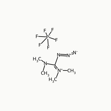 CN(C)C(N=[N+]=[N-])=[N+](C)C.F[P-](F)(F)(F)(F)F